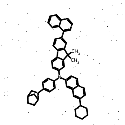 CC1(C)c2cc(-c3cccc4ccccc34)ccc2-c2ccc(N(c3ccc(C4CC5CCC4C5)cc3)c3ccc4ccc(C5CCCCC5)cc4c3)cc21